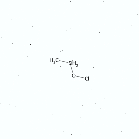 C[SiH2]OCl